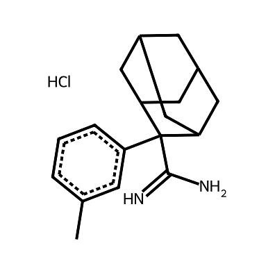 Cc1cccc(C2(C(=N)N)C3CC4CC(C3)CC2C4)c1.Cl